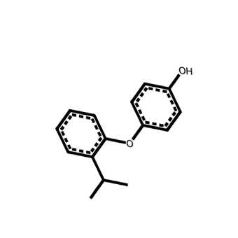 CC(C)c1ccccc1Oc1ccc(O)cc1